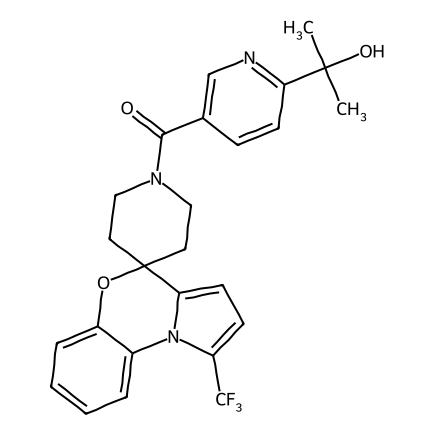 CC(C)(O)c1ccc(C(=O)N2CCC3(CC2)Oc2ccccc2-n2c(C(F)(F)F)ccc23)cn1